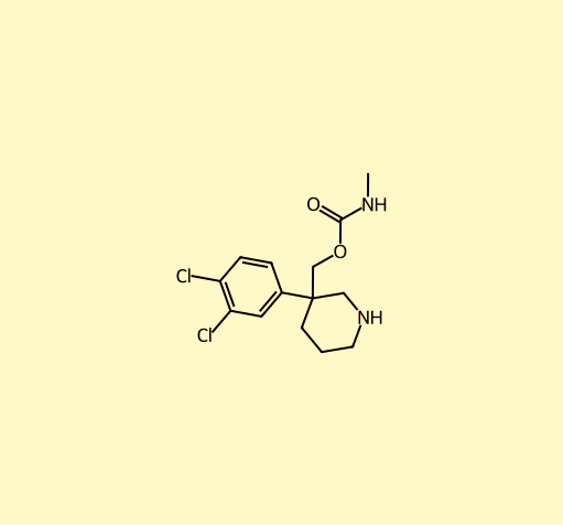 CNC(=O)OCC1(c2ccc(Cl)c(Cl)c2)CCCNC1